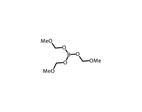 COCOB(OCOC)OCOC